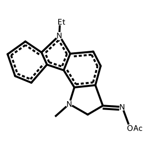 CCn1c2ccccc2c2c3c(ccc21)/C(=N/OC(C)=O)CN3C